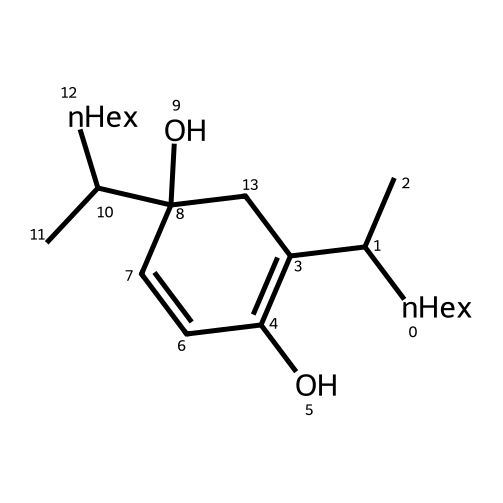 CCCCCCC(C)C1=C(O)C=CC(O)(C(C)CCCCCC)C1